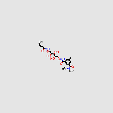 CC/C=C\CC(=O)NOCC(O)[C@@H](O)[C@@H](O)CONC(=O)c1cc(C)cc(C(=O)N(CCC)CCC)c1